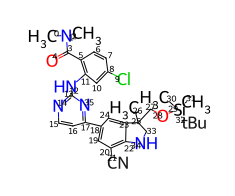 CN(C)C(=O)c1ccc(Cl)cc1Nc1nccc(-c2cc(C#N)c3c(c2)C(C)(CO[Si](C)(C)C(C)(C)C)CN3)n1